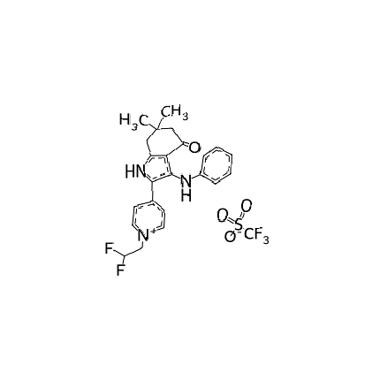 CC1(C)CC(=O)c2c([nH]c(-c3cc[n+](CC(F)F)cc3)c2Nc2ccccc2)C1.O=S(=O)([O-])C(F)(F)F